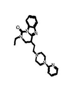 CCN1CC(CCN2CCN(c3ccccn3)CC2)c2nc3ccccc3n2C1=O